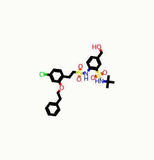 CC(C)(C)NS(=O)(=O)c1cc(CO)ccc1NS(=O)(=O)CCc1ccc(Cl)cc1OCCc1ccccc1